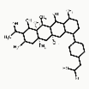 CCC(O)CC1CCC(C2CCC(C)C3C(O)C4C(C)[C@]5(C)C(O)C(C(C)O)C(C)C[C@]5(C)C[C@]4(C)CC23)CC1